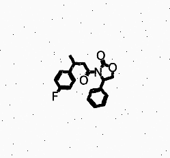 CC(CC(=O)N1C(=O)OCC1c1ccccc1)c1ccc(F)cc1